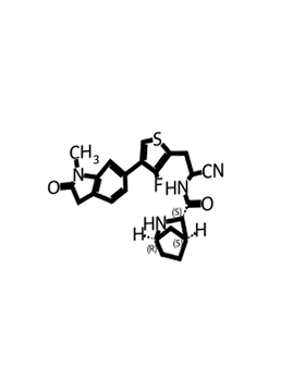 CN1C(=O)Cc2ccc(-c3csc(CC(C#N)NC(=O)[C@H]4N[C@@H]5CC[C@H]4C5)c3F)cc21